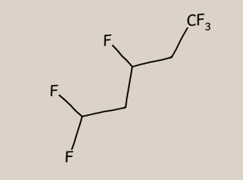 FC(F)CC(F)CC(F)(F)F